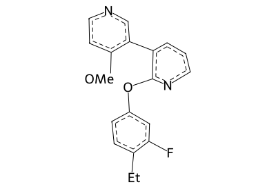 CCc1ccc(Oc2ncccc2-c2cnccc2OC)cc1F